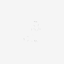 COc1ccccc1OC(C)Sc1nc2ccccc2[nH]1